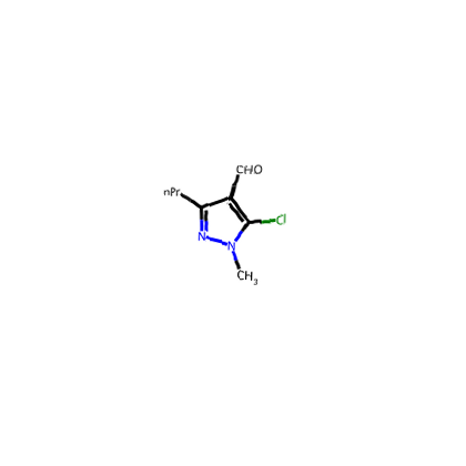 CCCc1nn(C)c(Cl)c1C=O